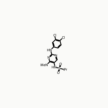 CNc1nc(Nc2ccc(Cl)c(Cl)c2)ncc1NS(=O)(=O)C(C)C